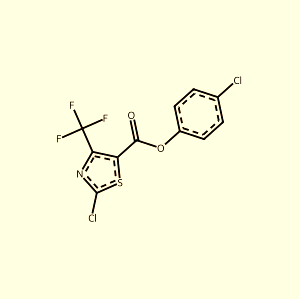 O=C(Oc1ccc(Cl)cc1)c1sc(Cl)nc1C(F)(F)F